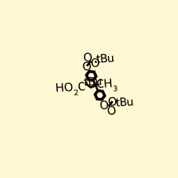 CC(C)(C)OC(=O)Oc1ccc(C(C)(CC(C(=O)O)C(C)(C)C)c2ccc(OC(=O)OC(C)(C)C)cc2)cc1